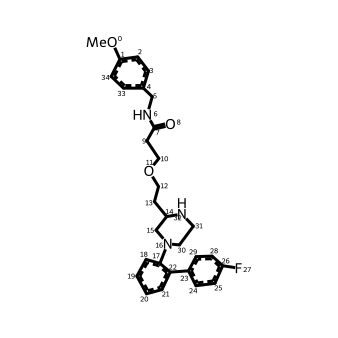 COc1ccc(CNC(=O)CCOCCC2CN(c3ccccc3-c3ccc(F)cc3)CCN2)cc1